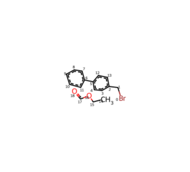 BrCc1ccc(-c2ccccc2)cc1.CCOC=O